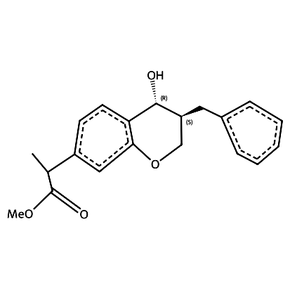 COC(=O)C(C)c1ccc2c(c1)OC[C@H](Cc1ccccc1)[C@H]2O